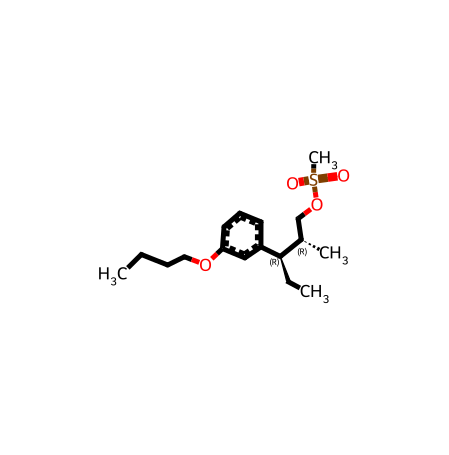 CCCCOc1cccc([C@H](CC)[C@@H](C)COS(C)(=O)=O)c1